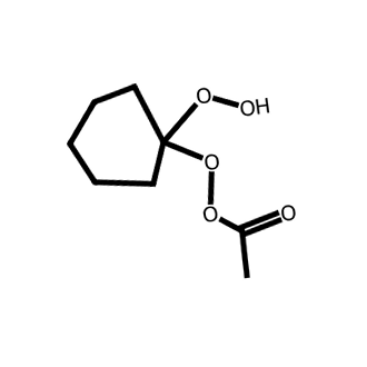 CC(=O)OOC1(OO)CCCCC1